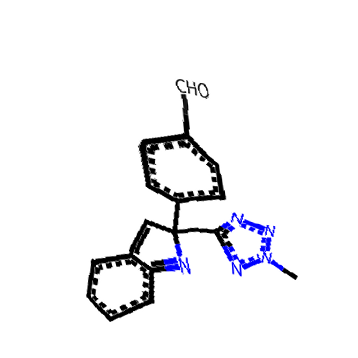 Cn1nnc(C2(c3ccc(C=O)cc3)C=c3ccccc3=N2)n1